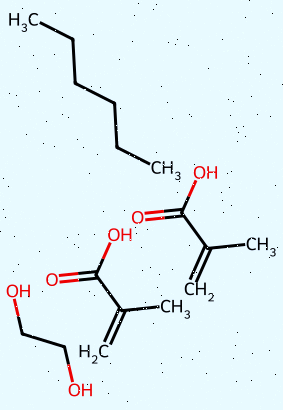 C=C(C)C(=O)O.C=C(C)C(=O)O.CCCCCC.OCCO